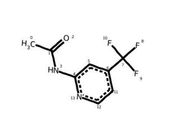 CC(=O)Nc1cc(C(F)(F)F)[c]cn1